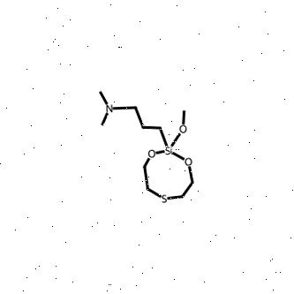 CO[Si]1(CCCN(C)C)OCCSCCO1